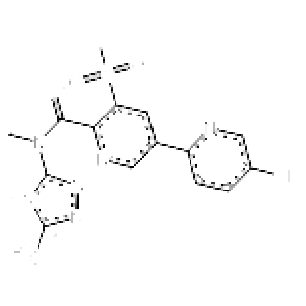 CCS(=O)(=O)c1cc(-c2ccc(Cl)cn2)cnc1C(=O)N(C)c1nnc(C(F)(F)F)s1